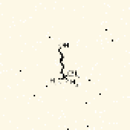 CC(C)(C)CCC=CCO